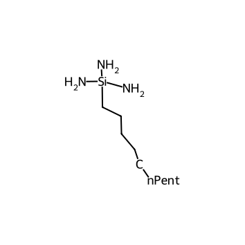 CCCCCCCCCC[Si](N)(N)N